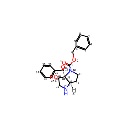 O=C(OCc1ccccc1)N1CC[C@H]2NC[C@H](O)[C@]21C(=O)c1ccccc1